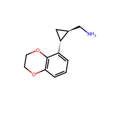 NC[C@@H]1C[C@H]1c1cccc2c1OCCO2